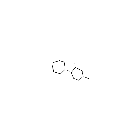 CN1CC[C@@H](N2CCOCC2)[C@@H](F)C1